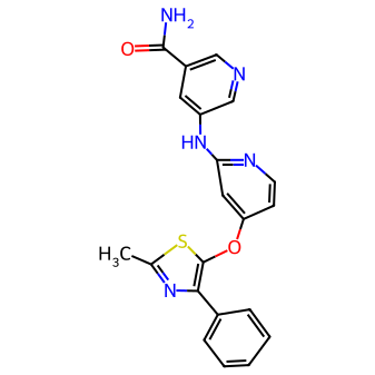 Cc1nc(-c2ccccc2)c(Oc2ccnc(Nc3cncc(C(N)=O)c3)c2)s1